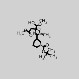 COC(=O)CC1(C(O)OC)N=C(C2CCCN(C(=O)OC(C)(C)C)C2)N(C)O1